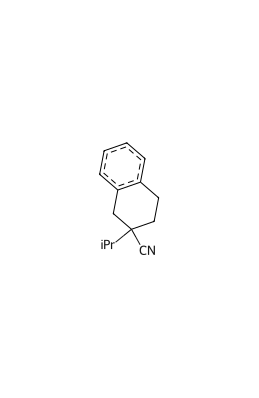 CC(C)C1(C#N)CCc2ccccc2C1